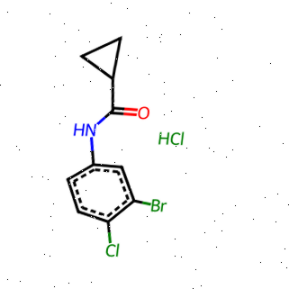 Cl.O=C(Nc1ccc(Cl)c(Br)c1)C1CC1